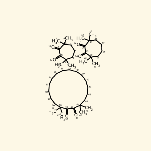 CC1(C)CCCC(C)(C)C(=O)C1=O.CC1(C)CCCCC(C)(C)C(=O)C1=O.CC1(C)CCCCCCCCCCCCCCC(C)(C)C(=O)C1=O